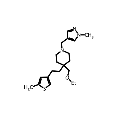 CCOCC1(CCc2csc(C)c2)CCN(Cc2cnn(C)c2)CC1